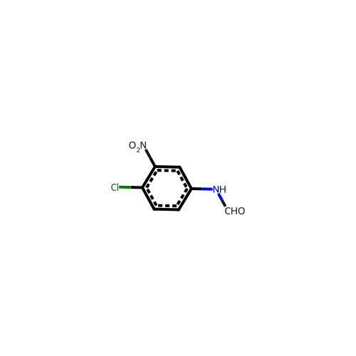 O=CNc1ccc(Cl)c([N+](=O)[O-])c1